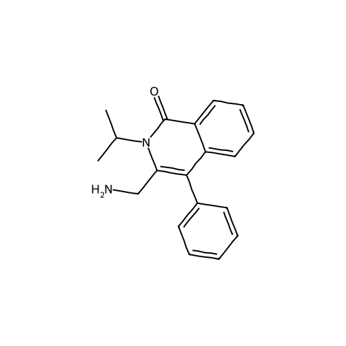 CC(C)n1c(CN)c(-c2ccccc2)c2ccccc2c1=O